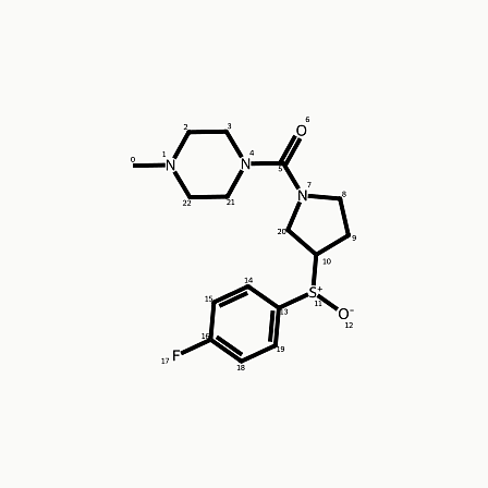 CN1CCN(C(=O)N2CCC([S+]([O-])c3ccc(F)cc3)C2)CC1